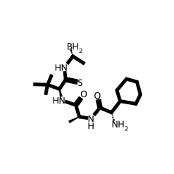 B[C@H](C)NC(=S)[C@@H](NC(=O)[C@H](C)NC(=O)[C@@H](N)C1CCCCC1)C(C)(C)C